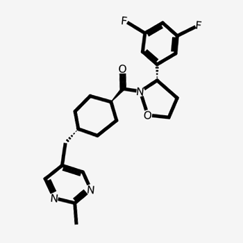 Cc1ncc(C[C@H]2CC[C@H](C(=O)N3OCC[C@H]3c3cc(F)cc(F)c3)CC2)cn1